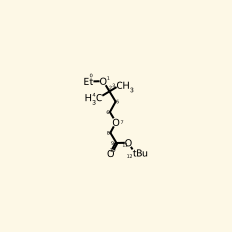 CCOC(C)(C)CCOCC(=O)OC(C)(C)C